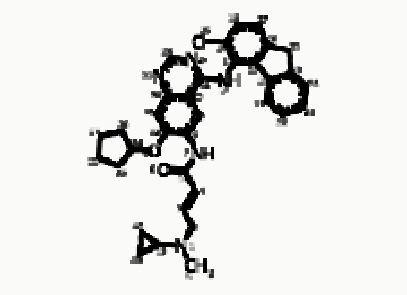 CN(C/C=C/C(=O)Nc1cc2c(Nc3c(Cl)ccc4c3-c3ccccc3C4)ncnc2cc1OC1CCCC1)C1CC1